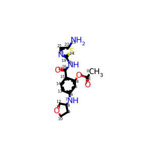 CC(=O)Oc1cc(NC2CCOC2)ccc1C(=O)Nc1ncc(N)s1